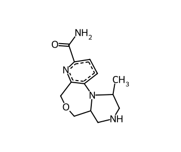 CC1CNCC2COCc3nc(C(N)=O)ccc3N12